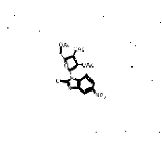 CC(=O)OC[C@H]1O[C@@H](n2c(Cl)nc3cc([N+](=O)[O-])ccc32)[C@H](OC(C)=O)[C@@H]1OC(C)=O